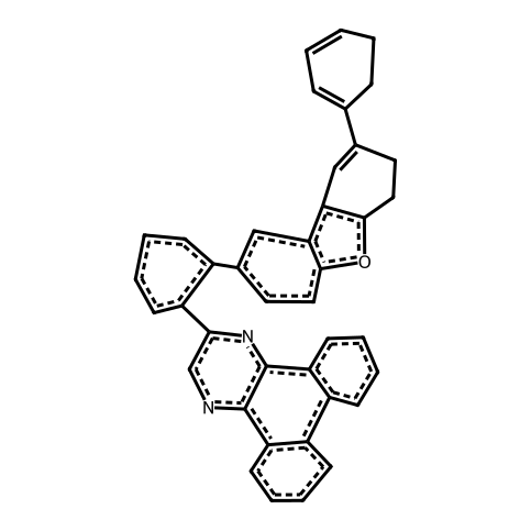 C1=CCCC(C2=Cc3c(oc4ccc(-c5ccccc5-c5cnc6c7ccccc7c7ccccc7c6n5)cc34)CC2)=C1